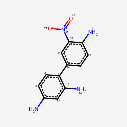 Nc1ccc(-c2ccc(N)c([N+](=O)[O-])c2)c(N)c1